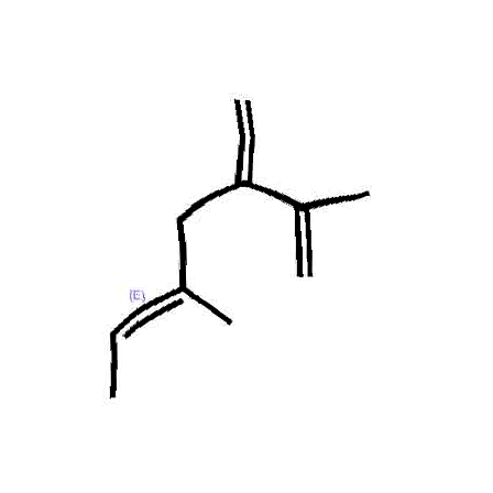 C=C(C)C(=C)C/C(C)=C/C